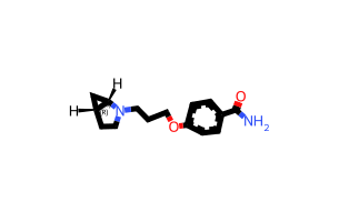 NC(=O)c1ccc(OCCCN2CC[C@@H]3C[C@@H]32)cc1